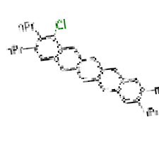 CCCc1cc2cc3cc4cc5cc(CCC)c(CCC)c(Cl)c5cc4cc3cc2cc1CCC